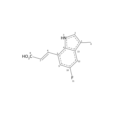 Cc1c[nH]c2c(/C=C/C(=O)O)cc(F)cc12